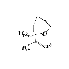 [CH]=C(C)C1([SiH3])CCCCO1